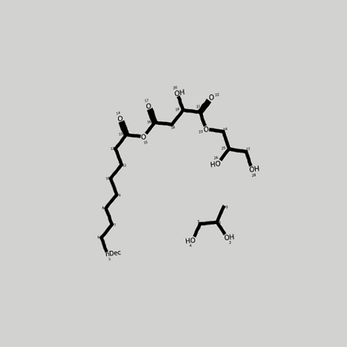 CC(O)CO.CCCCCCCCCCCCCCCCCC(=O)OC(=O)CC(O)C(=O)OCC(O)CO